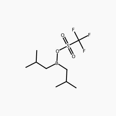 CC(C)CB(CC(C)C)OS(=O)(=O)C(F)(F)F